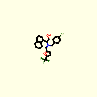 OCC(c1cccc2ccccc12)N(Cc1ccc(Br)cc1)Cc1ccc(C(F)(F)F)o1